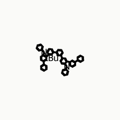 CC(C)(C)c1c(-c2ccc3c(c2)c2cc(-c4ccccc4)ccc2n3-c2ccccc2)cccc1-c1ccc2c(c1)c1cc(-c3ccccc3)ccc1n2-c1ccccc1